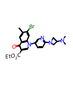 CCOC(=O)c1cn(-c2ccc(N3CC(N(C)C)C3)nc2)c2cc(Br)c(C)cc2c1=O